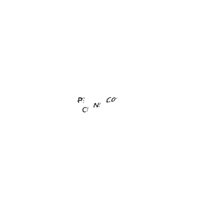 [C].[Co].[N].[P]